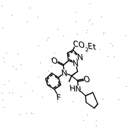 CCOC(=O)c1cc2n(n1)CC(C)(C(=O)NC1CCCC1)N(c1cccc(F)c1)C2=O